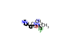 CC[C@H](CCC(F)(F)F)NC(=O)N(CC)C(C)(C)c1cccc(-c2ccc3nccn3c2)c1